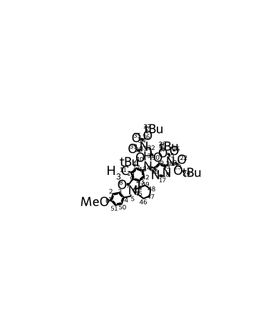 COc1ccc(CN2C(=O)c3c(C)cc(Nc4ncnc(N(C(=O)OC(C)(C)C)C(=O)OC(C)(C)C)c4OCCN(C(=O)OC(C)(C)C)C(=O)OC(C)(C)C)cc3C23CCCCC3)cc1